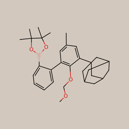 COCOc1c(-c2ccccc2B2OC(C)(C)C(C)(C)O2)cc(C)cc1C12CC3CC(CC(C3)C1)C2